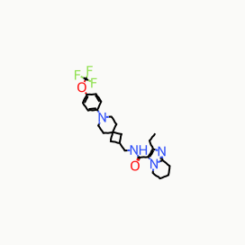 CCc1nc2n(c1C(=O)NCC1CC3(CCN(c4ccc(OC(F)(F)F)cc4)CC3)C1)CCCC2